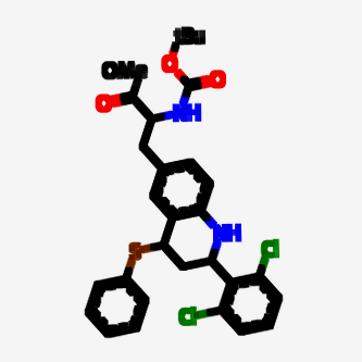 COC(=O)C(Cc1ccc2c(c1)C(Sc1ccccc1)CC(c1c(Cl)cccc1Cl)N2)NC(=O)OC(C)(C)C